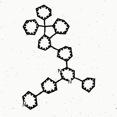 c1ccc(-c2cc(-c3cccc(-c4cccc5c4-c4ccccc4C5(c4ccccc4)c4ccccc4)c3)nc(-c3ccc(-c4ccncc4)cc3)n2)cc1